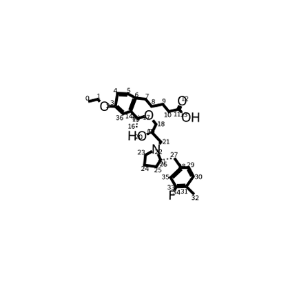 CCOc1ccc(CCCCC(=O)O)c([C@@H](C)OC[C@H](O)CN2CCC[C@H]2Cc2ccc(C)c(F)c2)c1